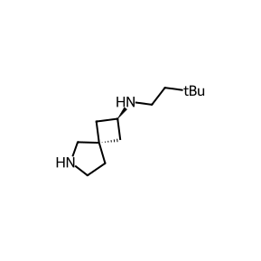 CC(C)(C)CCN[C@H]1C[C@@]2(CCNC2)C1